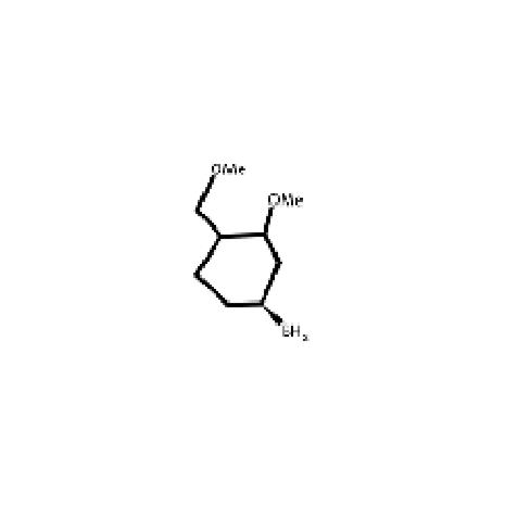 B[C@H]1CCC(COC)C(OC)C1